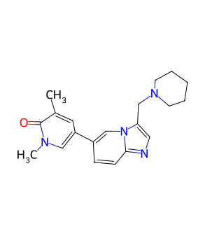 Cc1cc(-c2ccc3ncc(CN4CCCCC4)n3c2)cn(C)c1=O